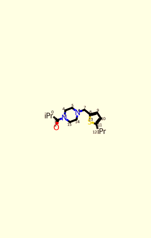 CC(C)C(=O)N1CCN(Cc2ccc(C(C)C)s2)CC1